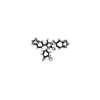 Cc1c(-c2ccc3ncnn3c2)n(-c2ccc(F)c(Cl)c2)c(=O)n1Cc1ccc2nsnc2c1